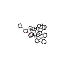 CC1(C)c2ccccc2-c2ccc(N(c3ccc4c(c3)C(C)(C)c3cc(-c5ccccc5)ccc3-4)c3cccc4c3C3(c5ccccc5-c5ccc(-c6ccccc6)cc53)c3ccccc3-4)cc21